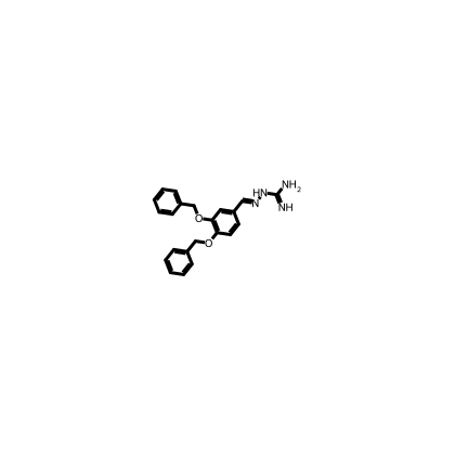 N=C(N)NN=Cc1ccc(OCc2ccccc2)c(OCc2ccccc2)c1